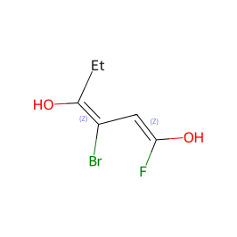 CC/C(O)=C(Br)\C=C(\O)F